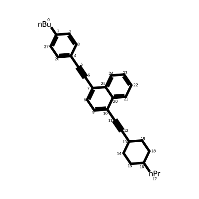 CCCCc1ccc(C#Cc2ccc(C#CC3CCC(CCC)CC3)c3ccccc23)cc1